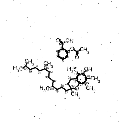 CC(=O)Oc1ccccc1C(=O)O.Cc1c(C)c2c(c(C)c1O)CC[C@@](C)(CCC[C@H](C)CCC[C@H](C)CCCC(C)C)O2